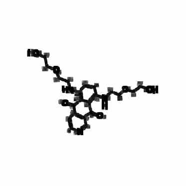 O=C1c2ccncc2C(=O)c2c(NCCOCCO)ccc(NCCOCCO)c21